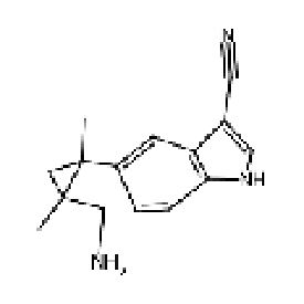 CC1(CN)CC1(C)c1ccc2[nH]cc(C#N)c2c1